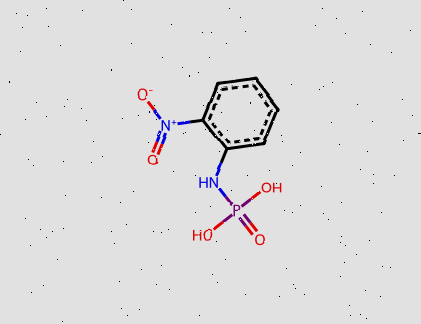 O=[N+]([O-])c1ccccc1NP(=O)(O)O